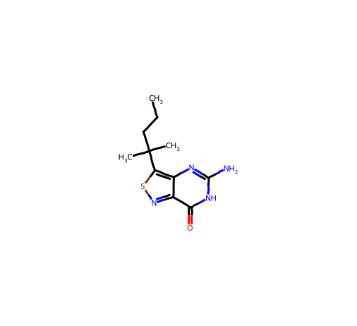 CCCC(C)(C)c1snc2c(=O)[nH]c(N)nc12